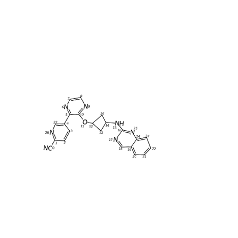 N#Cc1ccc(-c2nccnc2OC2CC(Nc3ncc4ccccc4n3)C2)cn1